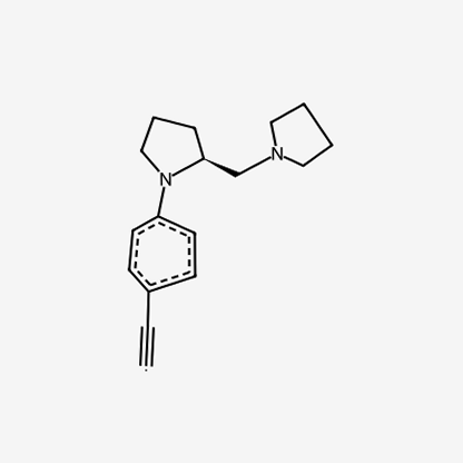 [C]#Cc1ccc(N2CCC[C@H]2CN2CCCC2)cc1